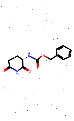 O=C1CC[C@H](NC(=O)OCc2ccccc2)C(=O)N1